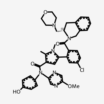 COc1cnc(N(C(=O)c2cc(-c3cc(Cl)ccc3C(=O)N3Cc4ccccc4C[C@H]3CN3CCOCC3)n(C)c2C)c2ccc(O)cc2)cn1